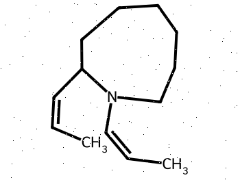 C/C=C\C1CCCCCCN1/C=C\C